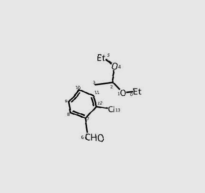 CCOC(C)OCC.O=Cc1ccccc1Cl